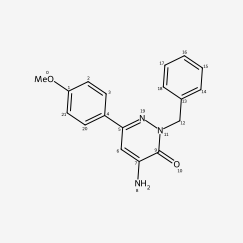 COc1ccc(-c2cc(N)c(=O)n(Cc3ccccc3)n2)cc1